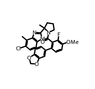 COc1ccc(-c2ccc3c(c2)OCO3)c(C(=O)N2CCCC2(C)c2nc3c(C)c(Cl)ccc3[nH]2)c1F